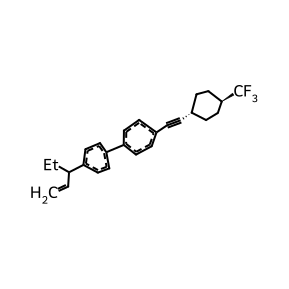 C=CC(CC)c1ccc(-c2ccc(C#C[C@H]3CC[C@H](C(F)(F)F)CC3)cc2)cc1